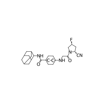 N#C[C@@H]1C[C@H](F)CN1C(=O)CNC12CCC(C(=O)NC3C4CC5CC(C4)CC3C5)(CC1)CC2